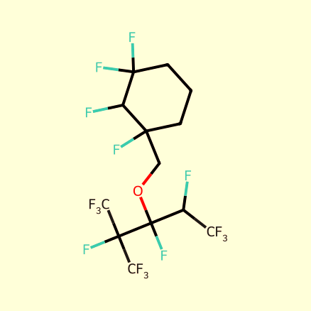 FC1C(F)(F)CCCC1(F)COC(F)(C(F)C(F)(F)F)C(F)(C(F)(F)F)C(F)(F)F